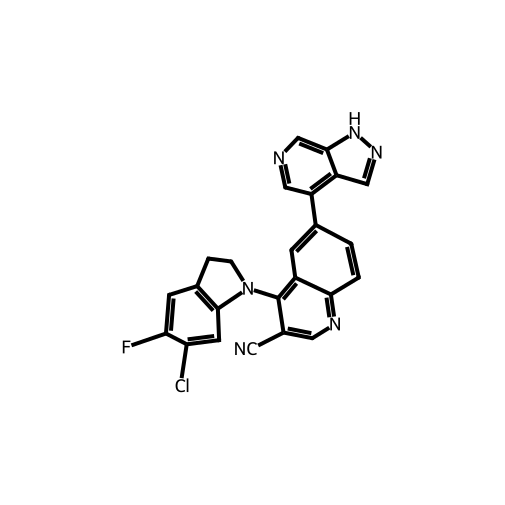 N#Cc1cnc2ccc(-c3cncc4[nH]ncc34)cc2c1N1CCc2cc(F)c(Cl)cc21